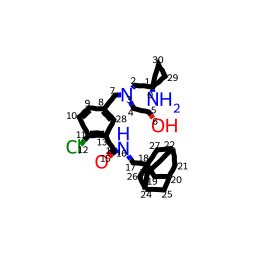 NC1(CN(CCO)Cc2ccc(Cl)c(C(=O)NCC34CC5CC(CC(C5)C3)C4)c2)CC1